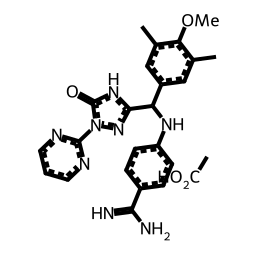 CC(=O)O.COc1c(C)cc(C(Nc2ccc(C(=N)N)cc2)c2nn(-c3ncccn3)c(=O)[nH]2)cc1C